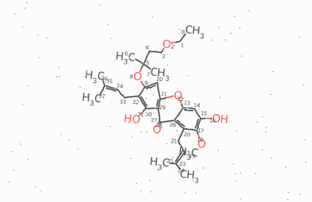 CCOCCC(C)(C)Oc1cc2oc3cc(O)c(OC)c(CC=C(C)C)c3c(=O)c2c(O)c1CC=C(C)C